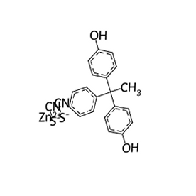 CC(c1ccccc1)(c1ccc(O)cc1)c1ccc(O)cc1.N#C[S-].N#C[S-].[Zn+2]